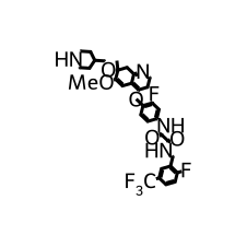 COC1=CC2=C(Oc3ccc(NC(=O)C(=O)NCc4cc(C(F)(F)F)ccc4F)cc3F)CCN=C2CC1(C)OCC1CCNCC1